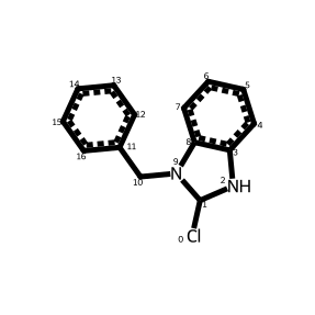 ClC1Nc2ccccc2N1Cc1ccccc1